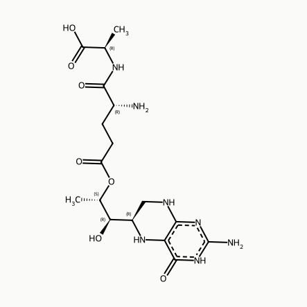 C[C@H](OC(=O)CC[C@@H](N)C(=O)N[C@H](C)C(=O)O)[C@H](O)[C@H]1CNc2nc(N)[nH]c(=O)c2N1